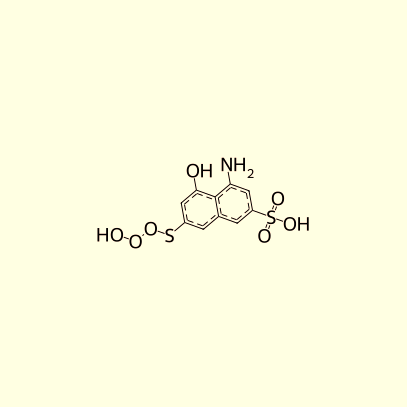 Nc1cc(S(=O)(=O)O)cc2cc(SOOO)cc(O)c12